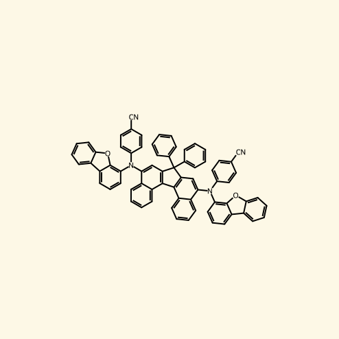 N#Cc1ccc(N(c2cc3c(c4ccccc24)-c2c(cc(N(c4ccc(C#N)cc4)c4cccc5c4oc4ccccc45)c4ccccc24)C3(c2ccccc2)c2ccccc2)c2cccc3c2oc2ccccc23)cc1